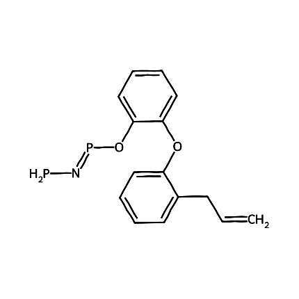 C=CCc1ccccc1Oc1ccccc1OP=NP